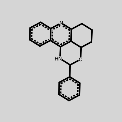 c1ccc(C2Nc3c4c(nc5ccccc35)CCCC4O2)cc1